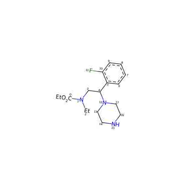 CCOC(=O)N(CC)CC(c1ccccc1F)N1CCNCC1